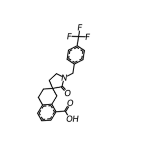 O=C(O)c1cccc2c1CC1(CC2)CCN(Cc2ccc(C(F)(F)F)cc2)C1=O